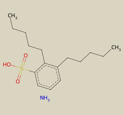 CCCCCc1cccc(S(=O)(=O)O)c1CCCCC.N